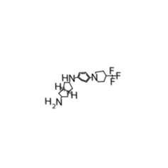 NC1C[C@@H]2CC(Nc3ccc(N4CCC(C(F)(F)F)CC4)cc3)C[C@@H]2C1